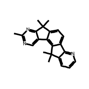 Cc1ncc2c(n1)C(C)(C)c1ccc3c(c1-2)C(C)(C)c1cccnc1-3